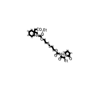 CCOC(=O)CC1(CNC(=O)OCCSSCCOC(=O)NC(=O)[C@H](CC)N2CCCC2=O)CCCCC1